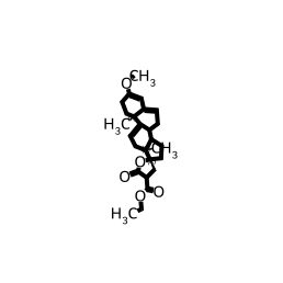 CCOC(=O)C1C[C@@]2(CCC3C4CC=C5C=C(OC)CC[C@]5(C)C4=CC[C@@]32C)OC1=O